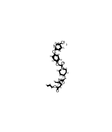 C=CCOC(=O)Cc1oc(SC2CCN(C(=O)Oc3ccc(Oc4ccc(C(F)(F)F)cn4)cc3)CC2)nc1C